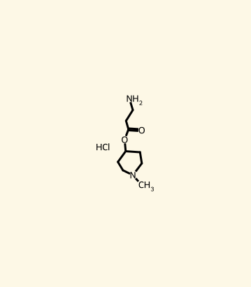 CN1CCC(OC(=O)CCN)CC1.Cl